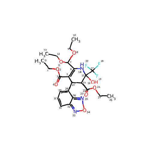 CCOC(=O)C1=C(C(OCC)OCC)NC(O)(C(F)(F)F)C(C(=O)OCC)C1c1cccc2nonc12